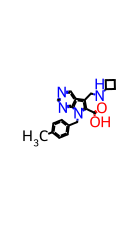 Cc1ccc(Cn2c(C(=O)O)c(CNC3CCC3)c3cncnc32)cc1